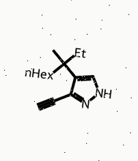 C#Cc1n[nH]cc1C(C)(CC)CCCCCC